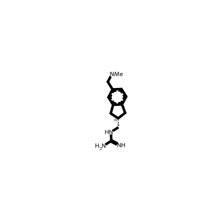 CNCc1ccc2c(c1)C[C@@H](CNC(=N)N)C2